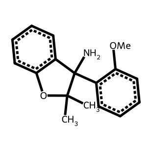 COc1ccccc1C1(N)c2ccccc2OC1(C)C